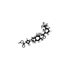 COC(=O)[C@H]1C[C@H](n2cc3cc(NC(=O)c4cccc(C(F)(F)F)n4)c(F)cc3n2)C1